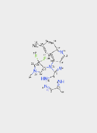 CC(=N)/C=N\NCc1nc2cnc3ccc(C#N)cc3c2n1C1CN(C)CC1(F)F